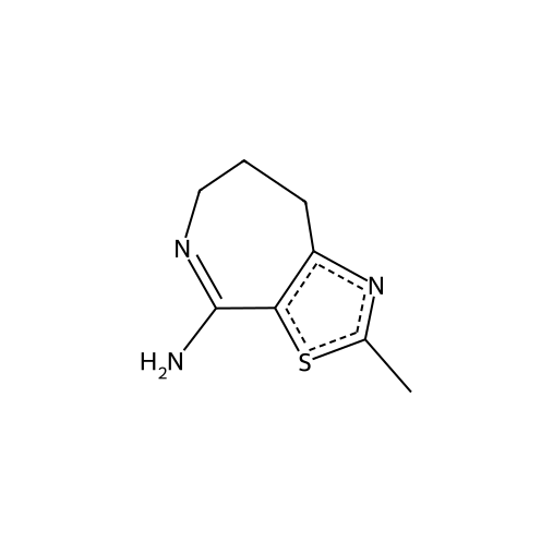 Cc1nc2c(s1)C(N)=NCCC2